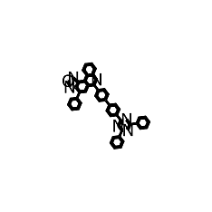 c1ccc(-c2nc(-c3ccccc3)nc(-c3ccc(-c4ccc(-c5nc6ccccc6c6c5cc(-c5ccccc5)c5nonc56)cc4)cc3)n2)cc1